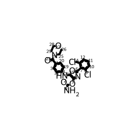 NC(=O)Oc1nc(-c2c(Cl)cccc2Cl)oc1Nc1ccc(C(=O)N2CCOCC2)cc1